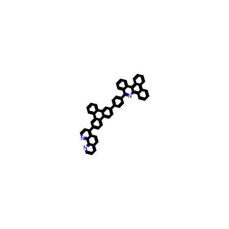 c1cnc2c(c1)ccc1c(-c3ccc4c5ccc(-c6ccc(-c7nc8c9ccccc9c9ccccc9c8c8ccccc78)cc6)cc5c5ccccc5c4c3)ccnc12